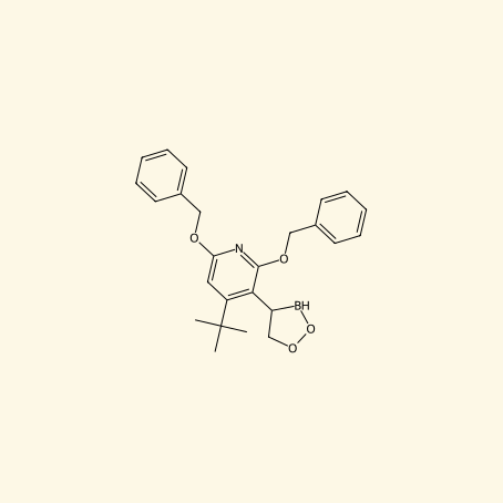 CC(C)(C)c1cc(OCc2ccccc2)nc(OCc2ccccc2)c1C1BOOC1